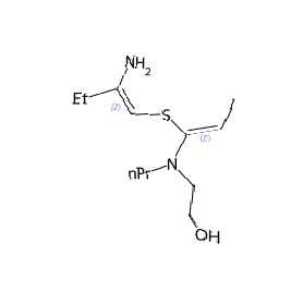 C/C=C(\S/C=C(\N)CC)N(CCC)CCO